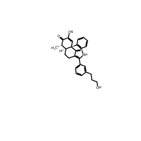 C[C@@H]1C(=O)C(C#N)=C[C@]2(c3ccccc3)c3n[nH]c(-c4cccc(CCCO)c4)c3CC[C@@H]12